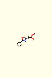 CCOC(=O)C(C)(C)c1coc(C2CCCC2)n1